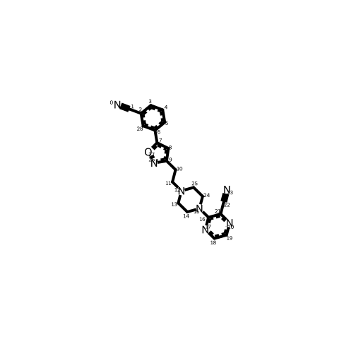 N#Cc1cccc(-c2cc(CCN3CCN(c4nccnc4C#N)CC3)no2)c1